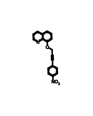 O=[N+]([O-])c1ccc(C#CCOc2cccc3cccnc23)cc1